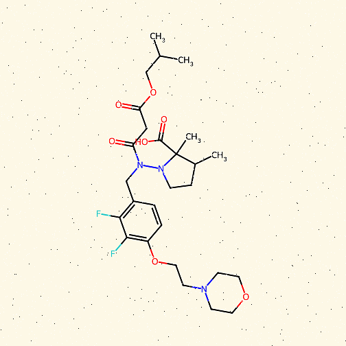 CC(C)COC(=O)CC(=O)N(Cc1ccc(OCCN2CCOCC2)c(F)c1F)N1CCC(C)C1(C)C(=O)O